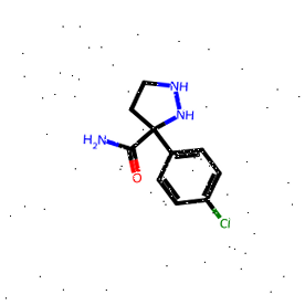 NC(=O)C1(c2ccc(Cl)cc2)CCNN1